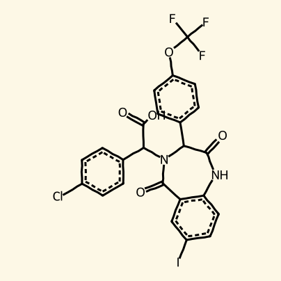 O=C(O)C(c1ccc(Cl)cc1)N1C(=O)c2cc(I)ccc2NC(=O)C1c1ccc(OC(F)(F)F)cc1